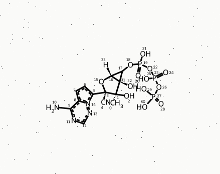 C[C@]1(O)[C@](C#N)(c2ccc3c(N)ncnn23)O[C@@H]2C(OP(=O)(O)OP(=O)(O)OP(=O)(O)O)[C@@]21O